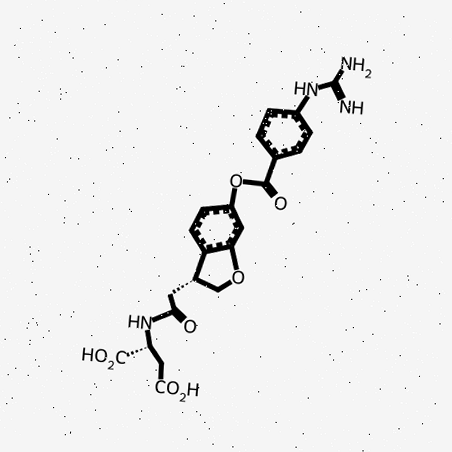 N=C(N)Nc1ccc(C(=O)Oc2ccc3c(c2)OC[C@@H]3CC(=O)N[C@H](CC(=O)O)C(=O)O)cc1